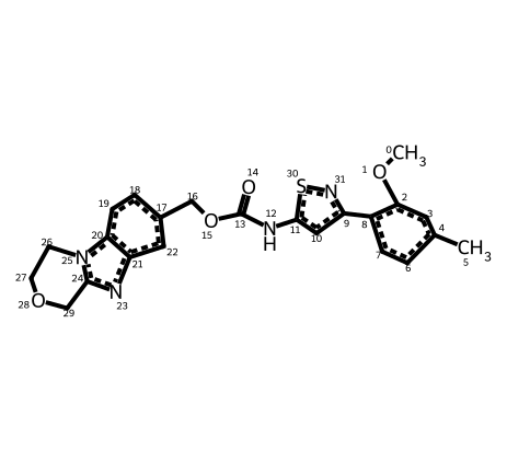 COc1cc(C)ccc1-c1cc(NC(=O)OCc2ccc3c(c2)nc2n3CCOC2)sn1